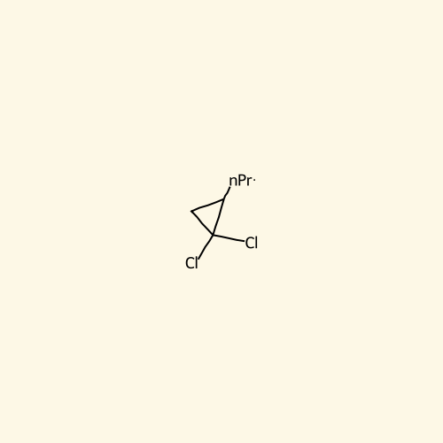 CC[CH]C1CC1(Cl)Cl